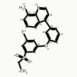 CCS(=O)(=O)c1cc(F)cc(Oc2cccc(-c3ccnc4c(C)cccc34)c2)c1